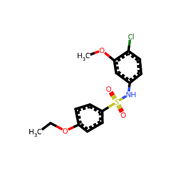 CCOc1ccc(S(=O)(=O)Nc2ccc(Cl)c(OC)c2)cc1